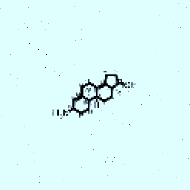 C[C@]12CC[C@@H]3C(=C1CCC2O)CCC1=CC(N)CC[C@@]13C